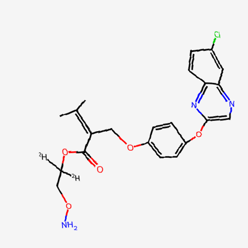 [2H]C([2H])(CON)OC(=O)C(COc1ccc(Oc2cnc3cc(Cl)ccc3n2)cc1)=C(C)C